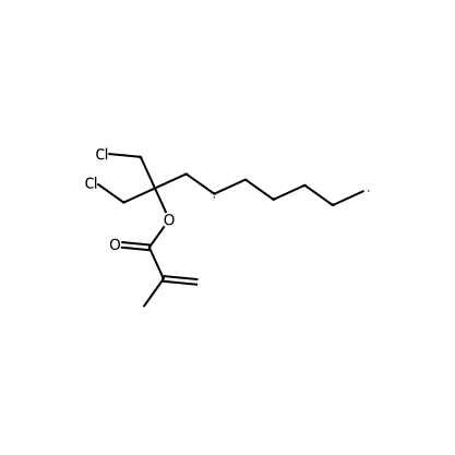 [CH2]CCCC[CH]CC(CCl)(CCl)OC(=O)C(=C)C